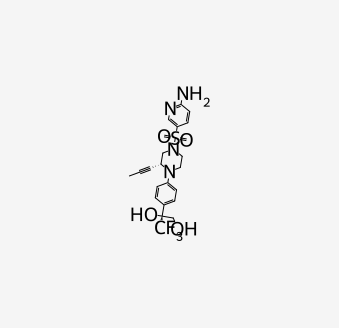 CC#C[C@@H]1CN(S(=O)(=O)c2ccc(N)nc2)CCN1c1ccc([C@@](O)(CO)C(F)(F)F)cc1